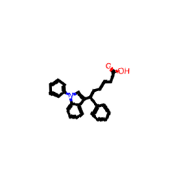 O=C(O)CCCCC(c1ccccc1)c1cn(-c2ccccc2)c2ccccc12